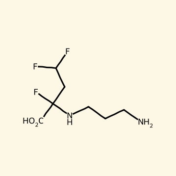 NCCCNC(F)(CC(F)F)C(=O)O